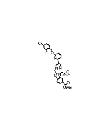 COC(=O)c1ccc2nc(Cn3cc(-c4cccc(OCc5ccc(Cl)cc5F)n4)cn3)n(C[C@@H]3CCO3)c2c1